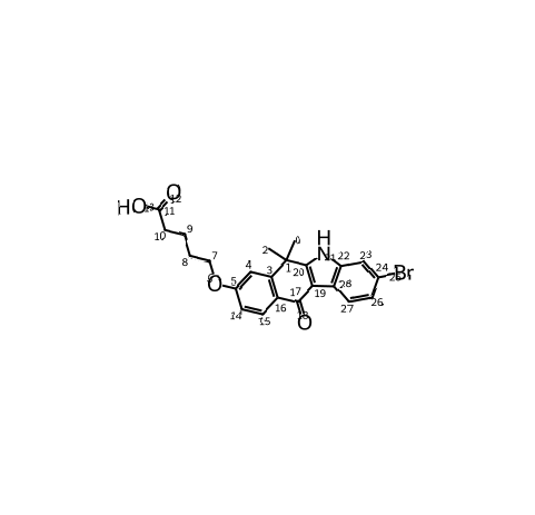 CC1(C)c2cc(OCCCCC(=O)O)ccc2C(=O)c2c1[nH]c1cc(Br)ccc21